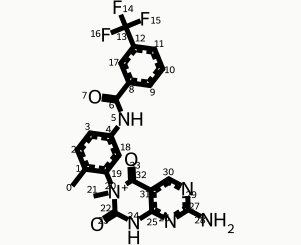 Cc1ccc(NC(=O)c2cccc(C(F)(F)F)c2)cc1[N+]1(C)C(=O)Nc2nc(N)ncc2C1=O